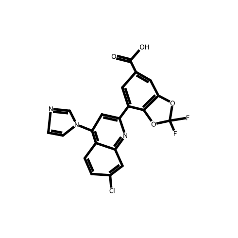 O=C(O)c1cc2c(c(-c3cc(-n4ccnc4)c4ccc(Cl)cc4n3)c1)OC(F)(F)O2